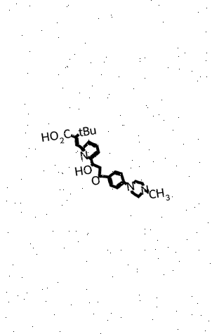 CN1CCN(c2ccc(C(=O)CC(O)c3cccc(C=C(C(=O)O)C(C)(C)C)n3)cc2)CC1